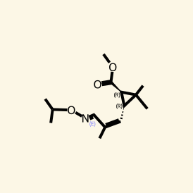 COC(=O)[C@@H]1[C@@H](C=C(C)/C=N/OC(C)C)C1(C)C